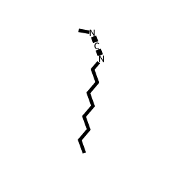 CCCCCCCCN=C=NC